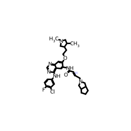 CC1CN(C)CC1CCOc1cc2ncnc(Nc3ccc(F)c(Cl)c3)c2cc1NC(=O)/C=C/CN1CC2CCCC2C1